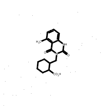 Cc1cccc2[nH]c(=O)n(CC3CCCCC3C(=O)O)c(=O)c12